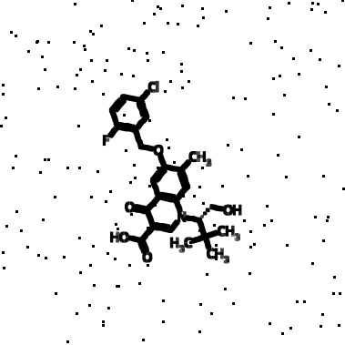 Cc1cc2c(cc1OCc1cc(Cl)ccc1F)c(=O)c(C(=O)O)cn2[C@H](CO)C(C)(C)C